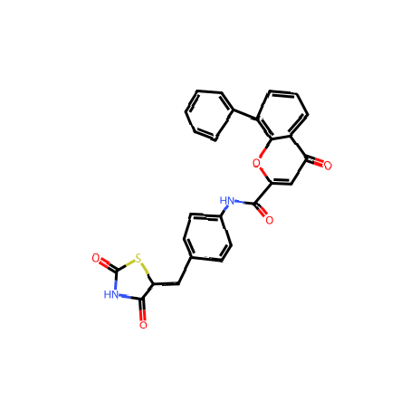 O=C1NC(=O)C(Cc2ccc(NC(=O)c3cc(=O)c4cccc(-c5ccccc5)c4o3)cc2)S1